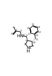 C=C(C)CNC[C@@H]1CNC[C@H]1Cc1ccccc1